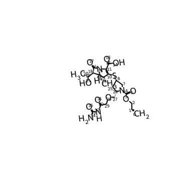 C=CCOC(=O)N1C[C@@H](SC2=C(C(=O)O)N3C(=O)[C@H]([C@@H](C)O)[C@H]3[C@H]2C)C[C@H]1COCC(=O)NC(N)=O